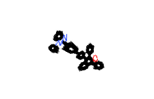 c1ccc(-c2c(-c3ccc(-c4ccc(-c5nc6ccccc6n5-c5ccccc5)cc4)cc3)c3ccccc3c3c2oc2ccccc23)cc1